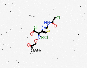 COC(=O)CON=C(C(=O)Cl)c1csc(NC(=O)CCl)n1.Cl